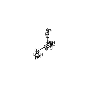 C=C1C[C@H]2C(=O)Nc3cc(OCCCCCOc4cc5c(cc4OC)C(=O)N4CC(=C)C[C@H]4[C@H](O)C5C(=O)OCCCSSc4ccc([N+](=O)[O-])cn4)c(OC)cc3C(=O)N2C1